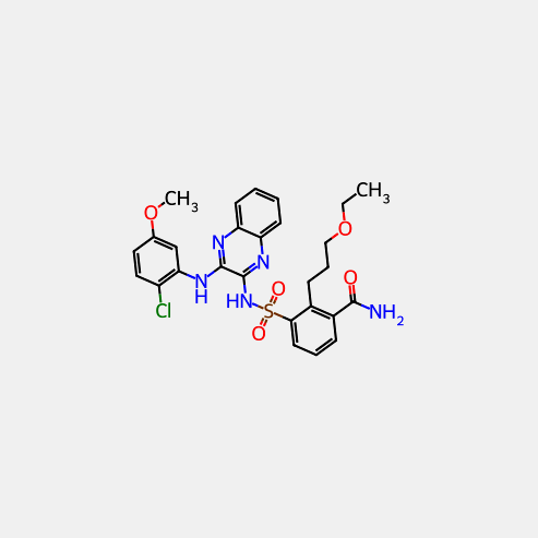 CCOCCCc1c(C(N)=O)cccc1S(=O)(=O)Nc1nc2ccccc2nc1Nc1cc(OC)ccc1Cl